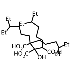 CCC(CC)CCCC(C(=O)O)C(O)(C(=O)O)C(CCCC(CC)CC)(CCCC(CC)CC)C(=O)O